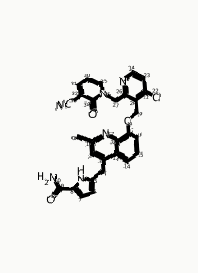 Cc1cc(Cc2ccc(C(N)=O)[nH]2)c2cccc(OCc3c(Cl)ccnc3Cn3cccc(C#N)c3=O)c2n1